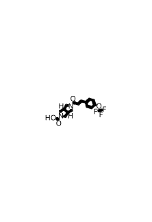 O=C(O)N1C[C@@H]2CN(C(=O)C=Cc3ccc(OC(F)(F)F)cc3)C[C@@H]2C1